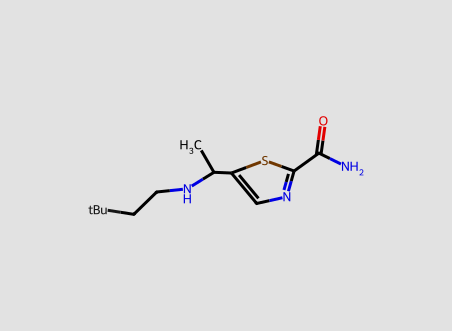 CC(NCCC(C)(C)C)c1cnc(C(N)=O)s1